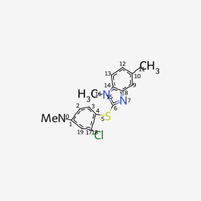 CNc1ccc(Sc2nc3cc(C)ccc3n2C)c(Cl)c1